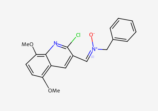 COc1ccc(OC)c2nc(Cl)c(/C=[N+](\[O-])Cc3ccccc3)cc12